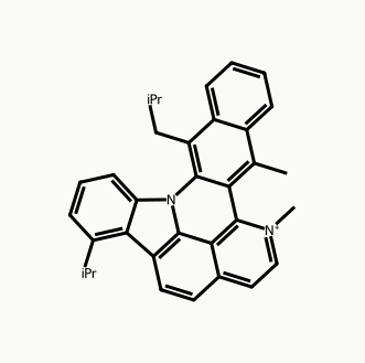 Cc1c2ccccc2c(CC(C)C)c2c1c1c3c(ccc4c5c(C(C)C)cccc5n2c43)cc[n+]1C